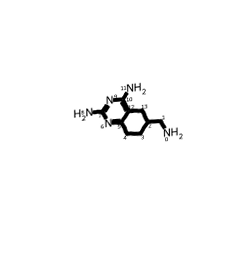 NCC1CCc2nc(N)nc(N)c2C1